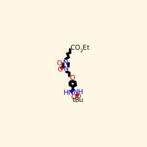 CCOC(=O)CCCCCN1CCN(CCCOc2ccc(C(=N)NC(=O)OC(C)(C)C)cc2)C(=O)C1=O